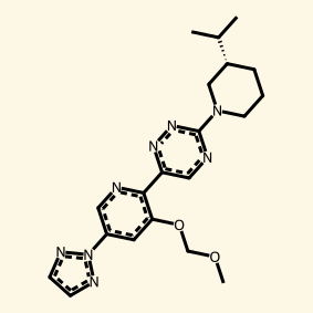 COCOc1cc(-n2nccn2)cnc1-c1cnc(N2CCC[C@@H](C(C)C)C2)nn1